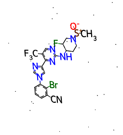 C[S+]([O-])N1CCC(Nc2ncc(C(F)(F)F)c(-c3cn(-c4cccc(C#N)c4Br)cn3)n2)C(F)C1